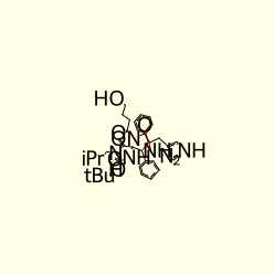 CC(C)CNC(=O)[C@@](NC(=O)OC(C)(C)C)([C@@H](Cc1ccccc1)c1ccccc1)N(C(=O)CCCO)C(=O)[C@H](N)Cc1c[nH]cn1